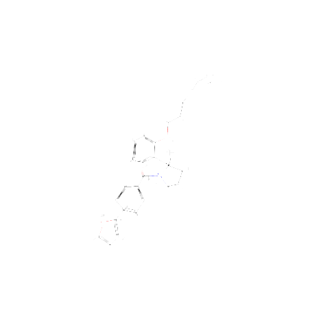 [2H]C1(c2ccccc2OCCCCCC(=O)O)CCCN1C(=O)c1ccc(-c2ccco2)cc1